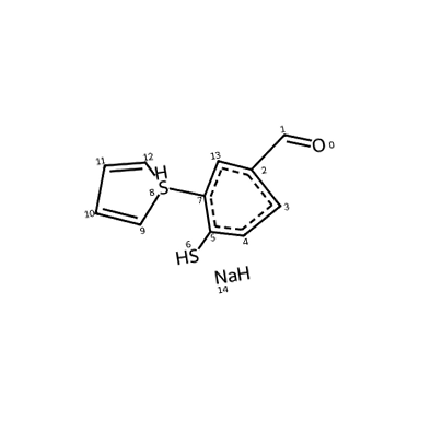 O=Cc1ccc(S)c([SH]2C=CC=C2)c1.[NaH]